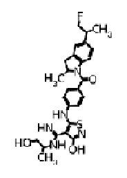 CC(CO)NC(=N)c1c(O)nsc1Nc1ccc(C(=O)N2c3ccc(C(C)CF)cc3CC2C)cc1